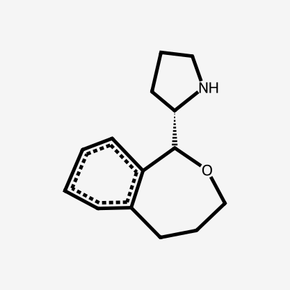 c1ccc2c(c1)CCCOC2[C@@H]1CCCN1